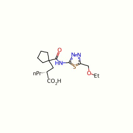 CCC[C@H](CC1(C(=O)Nc2nnc(COCC)s2)CCCC1)C(=O)O